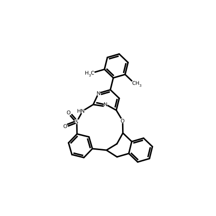 Cc1cccc(C)c1-c1cc2nc(n1)NS(=O)(=O)c1cccc(c1)C1Cc3ccccc3C(C1)O2